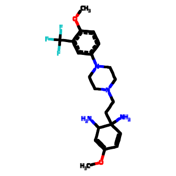 COC1=CC(N)C(N)(CCN2CCN(c3ccc(OC)c(C(F)(F)F)c3)CC2)C=C1